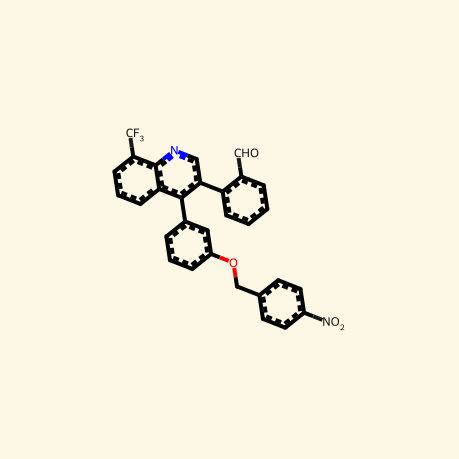 O=Cc1ccccc1-c1cnc2c(C(F)(F)F)cccc2c1-c1cccc(OCc2ccc([N+](=O)[O-])cc2)c1